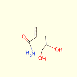 C=CC(N)=O.CC(O)CO